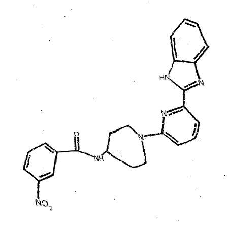 O=C(NC1CCN(c2cccc(-c3nc4ccccc4[nH]3)n2)CC1)c1cccc([N+](=O)[O-])c1